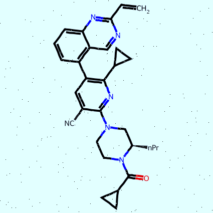 C=Cc1ncc2c(-c3cc(C#N)c(N4CCN(C(=O)C5CC5)[C@H](CCC)C4)nc3C3CC3)cccc2n1